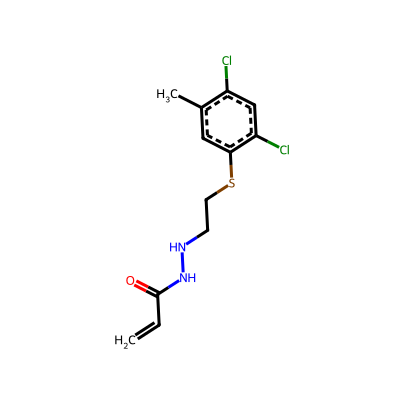 C=CC(=O)NNCCSc1cc(C)c(Cl)cc1Cl